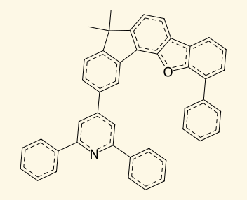 CC1(C)c2ccc(-c3cc(-c4ccccc4)nc(-c4ccccc4)c3)cc2-c2c1ccc1c2oc2c(-c3ccccc3)cccc21